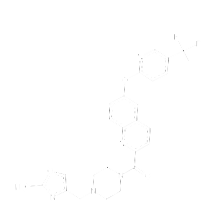 Cc1nc(CN2CCN(C(=O)c3ccc4cc(Oc5ccc(C(F)(F)F)cn5)ccc4n3)CC2)co1